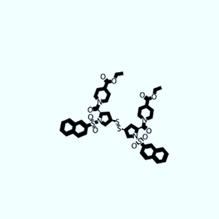 CCOC(=O)C1CCN(C(=O)[C@@H]2C[C@@H](SS[C@@H]3C[C@@H](C(=O)N4CCC(C(=O)OCC)CC4)N(S(=O)(=O)c4ccc5ccccc5c4)C3)CN2S(=O)(=O)c2ccc3ccccc3c2)CC1